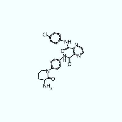 NC1CCCN(c2ccc(NC(=O)c3nccnc3C(=O)Nc3ccc(Cl)cc3)cc2)C1=O